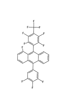 Fc1cc(-c2c3ccccc3c(-c3c(F)c(F)c(C(F)(F)F)c(F)c3F)c3c(F)cccc23)cc(F)c1F